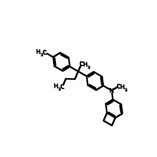 CCCC(C)(c1ccc(C)cc1)c1ccc(N(C)c2ccc3c(c2)CC3)cc1